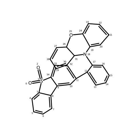 O=S1(=O)c2ccccc2-c2cc(-c3ccccc3N3c4ccccc4OC4C=CC=CC43)ccc21